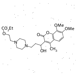 CCOC(=O)OCCN1CCN(CCC(O)c2c(C)c3ccc(OC)c(OC)c3oc2=O)CC1